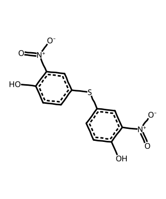 O=[N+]([O-])c1cc(Sc2ccc(O)c([N+](=O)[O-])c2)ccc1O